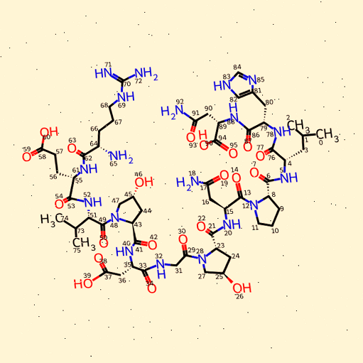 CC(C)C[C@H](NC(=O)[C@@H]1CCCN1C(=O)[C@H](CC(N)=O)NC(=O)[C@@H]1C[C@@H](O)CN1C(=O)CNC(=O)[C@H](CC(=O)O)NC(=O)[C@@H]1C[C@@H](O)CN1C(=O)[C@@H](NC(=O)[C@H](CCC(=O)O)NC(=O)[C@@H](N)CCCNC(=N)N)C(C)C)C(=O)N[C@@H](Cc1c[nH]cn1)C(=O)N[C@@H](CC(N)=O)C(=O)O